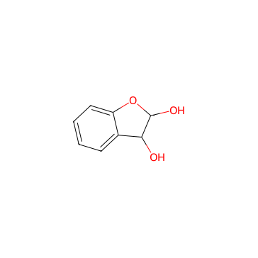 O[C]1Oc2ccccc2C1O